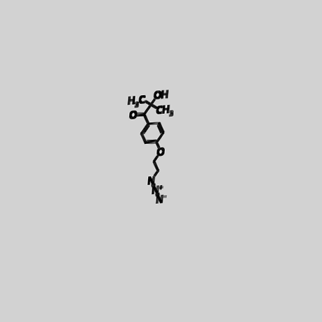 CC(C)(O)C(=O)c1ccc(OCCN=[N+]=[N-])cc1